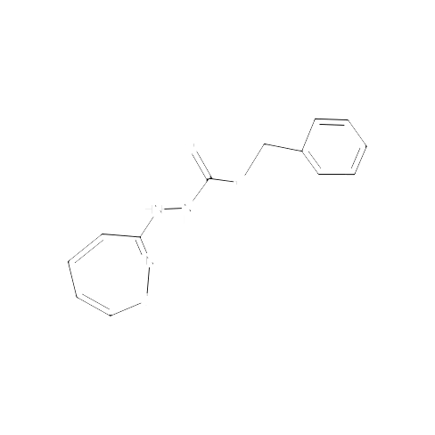 O=C(NNC1=NSC=CC=C1)OCc1ccccc1